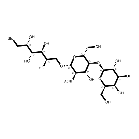 CC(=O)N[C@H]1[C@H](OC[C@@H](O)[C@H](O)[C@H](O)[C@@H](O)CC(C)(C)C)O[C@H](CO)[C@@H](O[C@@H]2O[C@H](CO)[C@H](O)[C@H](O)[C@H]2O)[C@@H]1O